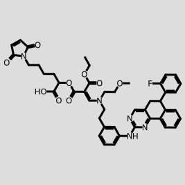 CCOC(=O)/C(=C\N(CCOC)CCc1cccc(Nc2ncc3c(n2)-c2ccccc2C(c2ccccc2F)C3)c1)C(=O)OC(CCCCN1C(=O)C=CC1=O)C(=O)O